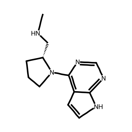 CNC[C@H]1CCCN1c1ncnc2[nH]ccc12